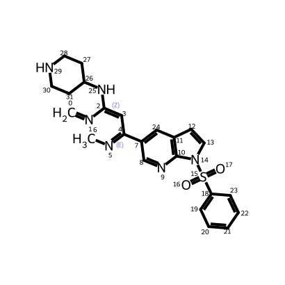 C=N/C(=C\C(=N/C)c1cnc2c(ccn2S(=O)(=O)c2ccccc2)c1)NC1CCNCC1